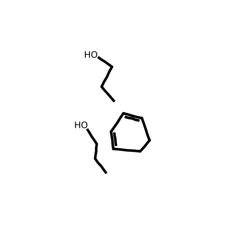 C1=CCCC=C1.CCCO.CCCO